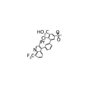 CC(C)c1cnc2c(C(F)(F)F)cccc2c1-c1cccc(-c2cc(S(C)(=O)=O)cc(C(=O)O)c2Cl)c1